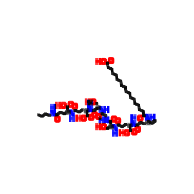 C=C[C@H](CCC(=O)N[C@@H](CCC(=O)N[C@@H](CO)C(=O)NCC(=O)N[C@@H](CO)C(=O)N[C@@H](CCC(=O)N[C@@H](CCC(=O)NCCCC)C(=O)O)C(=O)O)C(=O)O)NC(=O)CCCCCCCCCCCCCCCCC(=O)O